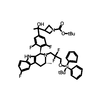 C[C@@H]1Cc2c([nH]c3ccc(F)cc23)[C@@H](c2c(F)cc(C(C)(O)C3CN(C(=O)OC(C)(C)C)C3)cc2F)N1CC(F)(F)CO[Si](c1ccccc1)(c1ccccc1)C(C)(C)C